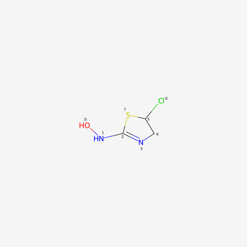 ONC1=NCC(Cl)S1